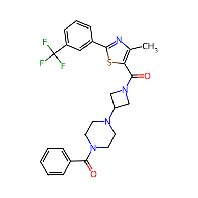 Cc1nc(-c2cccc(C(F)(F)F)c2)sc1C(=O)N1CC(N2CCN(C(=O)c3ccccc3)CC2)C1